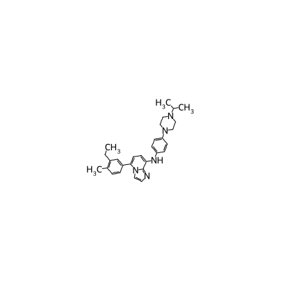 CCc1cc(-c2ccc(Nc3ccc(N4CCN(C(C)C)CC4)cc3)c3nccn23)ccc1C